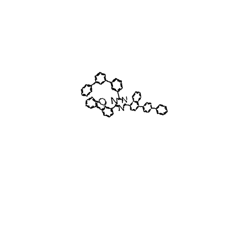 c1ccc(-c2ccc(-c3ccc(-c4nc(-c5cccc(-c6cccc(-c7ccccc7)c6)c5)nc(-c5cccc6c5oc5ccccc56)n4)c4ccccc34)cc2)cc1